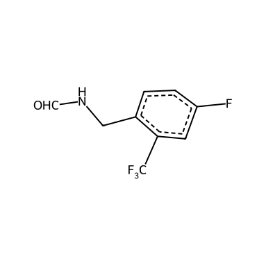 O=CNCc1ccc(F)cc1C(F)(F)F